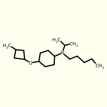 CCCCCN(C(C)C)C1CCC(OC2CC(C)C2)CC1